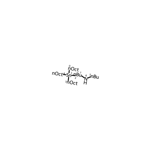 CCCCCCC[CH2][Sn]([CH3])([CH2]CCCCCCC)[CH2]CCCCCCC.CCCCNCCCC